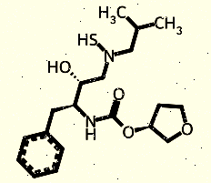 CC(C)CN(S)C[C@@H](O)[C@H](Cc1ccccc1)NC(=O)O[C@H]1CCOC1